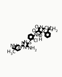 C=Cc1ccccc1-n1c(C)nc(=O)c(C(=O)Nc2cccc(Sc3nnc(N4CCC(C)(CN)CC4)nc3N)c2Cl)c1O